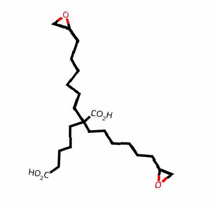 O=C(O)CCCCC(CCCCCCC1CO1)(CCCCCCC1CO1)C(=O)O